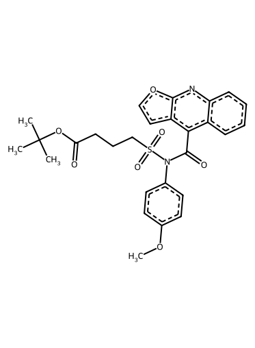 COc1ccc(N(C(=O)c2c3ccccc3nc3occc23)S(=O)(=O)CCCC(=O)OC(C)(C)C)cc1